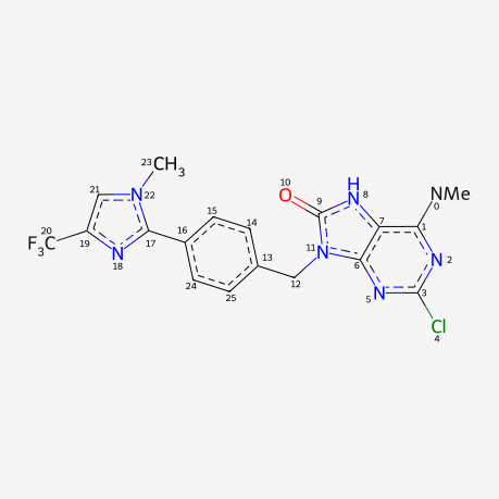 CNc1nc(Cl)nc2c1[nH]c(=O)n2Cc1ccc(-c2nc(C(F)(F)F)cn2C)cc1